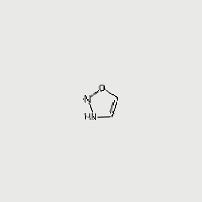 C1=CO[N]N1